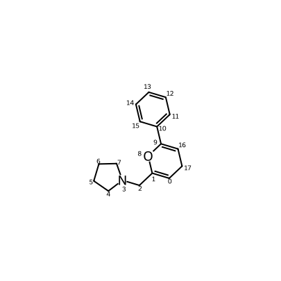 C1=C(CN2CCCC2)OC(c2ccccc2)=CC1